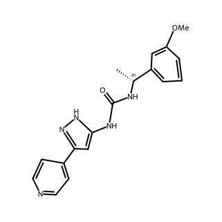 COc1cccc([C@@H](C)NC(=O)Nc2cc(-c3ccncc3)n[nH]2)c1